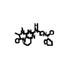 CC1C(=O)N2CCCc3nc(NC4CN(C(=O)[C@@H]5CCCO5)C4)nc(c32)N1C